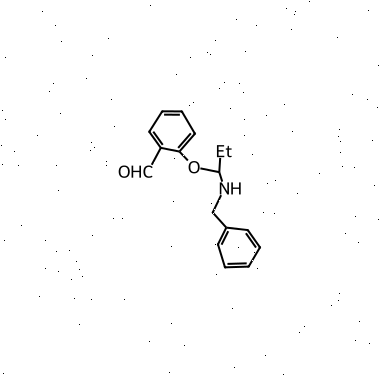 CCC(NCc1ccccc1)Oc1ccccc1C=O